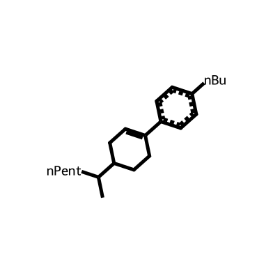 CCCCCC(C)C1CC=C(c2ccc(CCCC)cc2)CC1